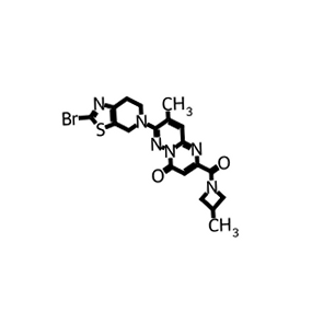 Cc1cc2nc(C(=O)N3CC(C)C3)cc(=O)n2nc1N1CCc2nc(Br)sc2C1